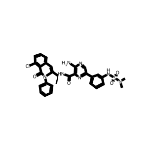 C[C@H](NC(=O)c1nc(-c2cccc(NS(=O)(=O)N(C)C)c2)cnc1N)c1cc2cccc(Cl)c2c(=O)n1-c1ccccc1